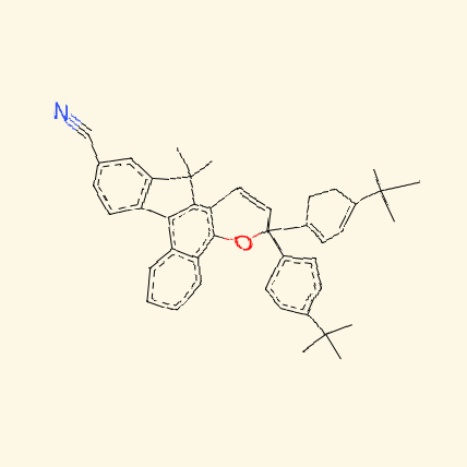 CC(C)(C)C1=CC=C(C2(c3ccc(C(C)(C)C)cc3)C=Cc3c4c(c5ccccc5c3O2)-c2ccc(C#N)cc2C4(C)C)CC1